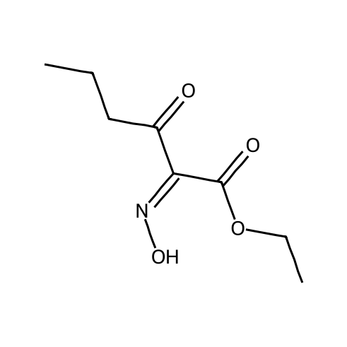 CCCC(=O)C(=NO)C(=O)OCC